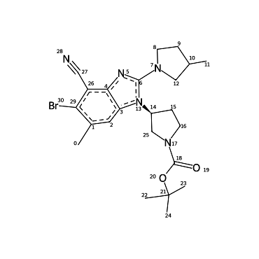 Cc1cc2c(nc(N3CCC(C)C3)n2[C@H]2CCN(C(=O)OC(C)(C)C)C2)c(C#N)c1Br